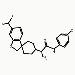 C[C@H](C(=O)Nc1ccc(Cl)cc1)C1CCC2(CC1)COc1cc(C(F)F)ccc12